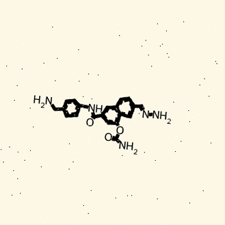 NCc1ccc(NC(=O)c2cc(OC(N)=O)c3cc(C=NN)ccc3c2)cc1